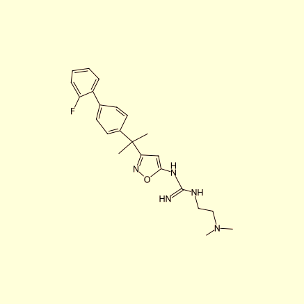 CN(C)CCNC(=N)Nc1cc(C(C)(C)c2ccc(-c3ccccc3F)cc2)no1